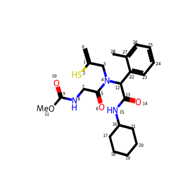 C=C(S)CN(C(=O)CNC(=O)OC)C(C(=O)NC1CCCCC1)c1ccccc1C